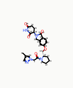 Cc1cnn(CC(=O)N2CCCC[C@H]2COc2ccc3c(c2)CN(C2CCC(=O)NC2=O)C3=O)c1